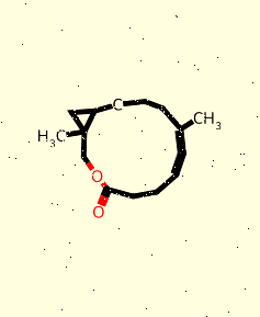 CC1=C=CCCC(=O)OCC2(C)CC2CCC1